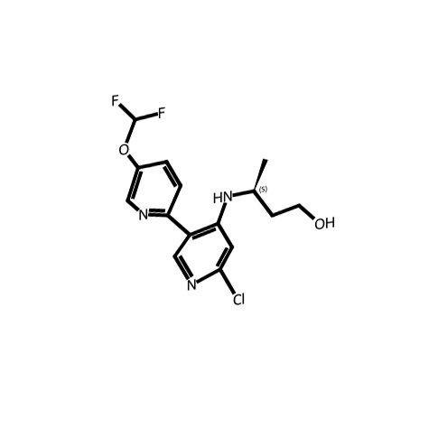 C[C@@H](CCO)Nc1cc(Cl)ncc1-c1ccc(OC(F)F)cn1